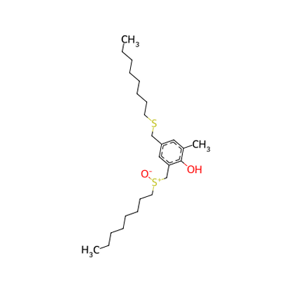 CCCCCCCCSCc1cc(C)c(O)c(C[S+]([O-])CCCCCCCC)c1